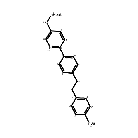 CCCCCCCOc1ccc(-c2ccc(CCc3ccc(CCCC)cc3)cc2)nc1